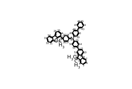 CC1(C)c2ccccc2-c2ccc(-c3ccc(N(C4=CC[C@@](C)(c5cccc6c5oc5ccccc56)C=C4)c4ccc(-c5ccccc5)cc4)cc3)cc21